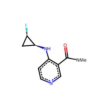 CNC(=O)c1cnccc1N[C@H]1C[C@H]1F